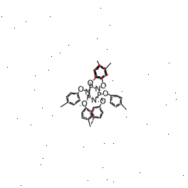 Cc1ccc(ON2P(Oc3ccc(C)cc3)N=P(Oc3ccc(C)cc3)(Oc3ccc(C)cc3)N(Oc3ccc(C)cc3)P2Oc2ccc(C)cc2)cc1